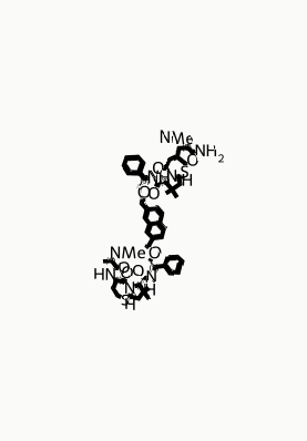 CN[C@@H](C)C(=O)N[C@H]1CCS[C@H]2CC(C)(C)[C@@H](C(=O)N[C@H](COCc3ccc4ccc(COC[C@@H](NC(=O)[C@H]5N6C(=O)CC(C[C@H](NC)C(N)=O)CS[C@H]6CC5(C)C)c5ccccc5)cc4c3)c3ccccc3)N2C1=O